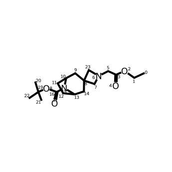 CCOC(=O)CN1CC2(CC3CCC(C2)N3C(=O)OC(C)(C)C)C1